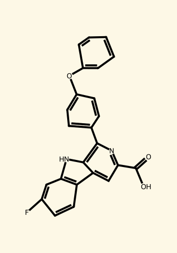 O=C(O)c1cc2c([nH]c3cc(F)ccc32)c(-c2ccc(Oc3ccccc3)cc2)n1